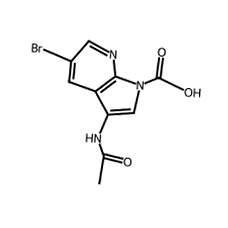 CC(=O)Nc1cn(C(=O)O)c2ncc(Br)cc12